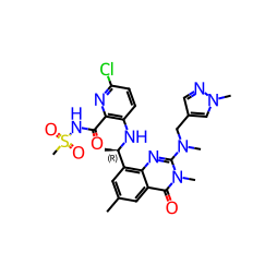 Cc1cc([C@@H](C)Nc2ccc(Cl)nc2C(=O)NS(C)(=O)=O)c2nc(N(C)Cc3cnn(C)c3)n(C)c(=O)c2c1